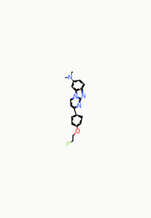 CN(C)c1ccc2nc3nc(-c4ccc(OCCF)cc4)ccn3c2c1